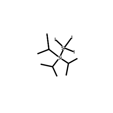 CC(C)[Si](C(C)C)(C(C)C)[Si](I)(I)I